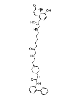 O=C(CCCCCNC[C@H](O)c1ccc(O)c2[nH]c(=O)ccc12)CNCCN1CCC(OC(=O)Nc2ccccc2-c2ccccc2)CC1